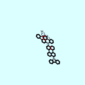 CC1(C)c2ccccc2-c2ccc(N(c3ccc(-c4cccc5c(-n6c7ccccc7c7ccccc76)ccc(-c6ccccc6)c45)cc3)c3ccccc3-c3ccccc3)cc21